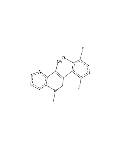 CN1CC(c2c(F)ccc(F)c2Cl)=C(O)c2ncccc21